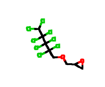 ClC(Cl)C(Cl)(Cl)C(Cl)(Cl)C(Cl)(Cl)COCC1CO1